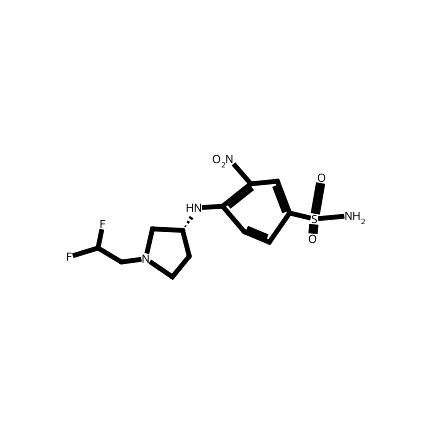 NS(=O)(=O)c1ccc(N[C@@H]2CCN(CC(F)F)C2)c([N+](=O)[O-])c1